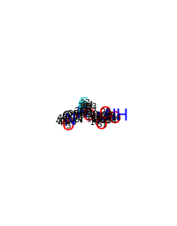 N#CC1(C(=O)N2CCC(C3CN([C@H]4[C@@H](Oc5ccc6c(c5)CN(C5CCC(=O)NC5=O)C6=O)CCCC4(F)F)C3)CC2)CCC1